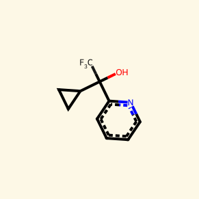 OC(c1ccccn1)(C1CC1)C(F)(F)F